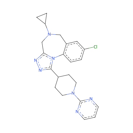 Clc1ccc2c(c1)CN(C1CC1)Cc1nnc(C3CCN(c4ncccn4)CC3)n1-2